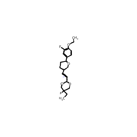 CCOc1ccc(C2CCC(/C=C/C3OCC(F)(CC)CO3)CO2)cc1F